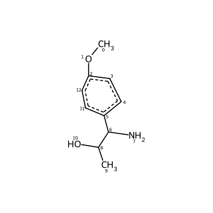 COc1ccc(C(N)C(C)O)cc1